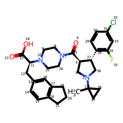 CC1(N2C[C@@H](C(=O)N3CCN([C@@H](Cc4ccc5c(c4)CCC5)C(=O)O)CC3)[C@H](c3ccc(Cl)cc3F)C2)CC1